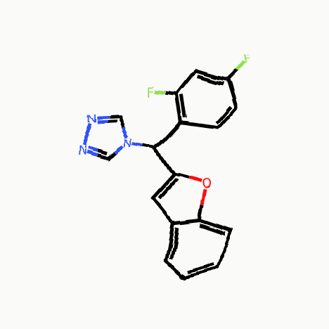 Fc1ccc(C(c2cc3ccccc3o2)n2cnnc2)c(F)c1